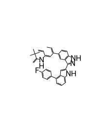 C=C/C(=C\C(=C/C)c1ccc2[nH]nc(-c3cc4c(-c5ccc(F)cc5)cccc4[nH]3)c2c1)NC(=C)C(C)(C)C